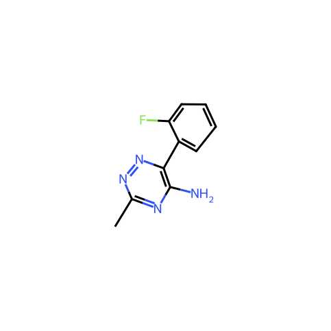 Cc1nnc(-c2ccccc2F)c(N)n1